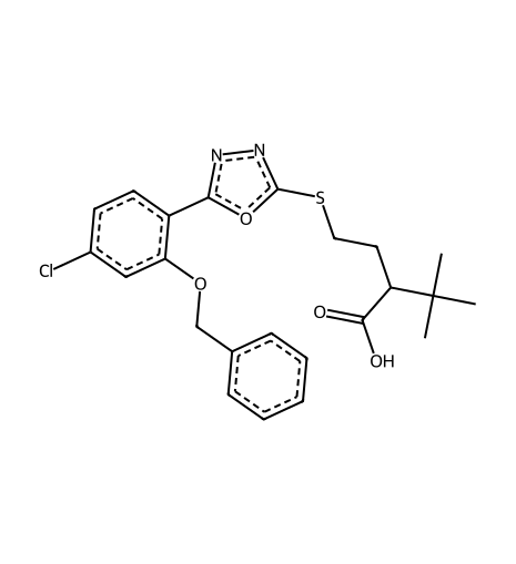 CC(C)(C)C(CCSc1nnc(-c2ccc(Cl)cc2OCc2ccccc2)o1)C(=O)O